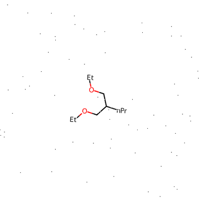 CCCC(COCC)COCC